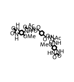 COc1cc2[nH]c(=O)c(=O)[nH]c2cc1NC(=O)C(N=NOC(=O)c1ccc(C(=O)ON=NC(C(C)=O)C(=O)Nc2cc3[nH]c(=O)c(=O)[nH]c3cc2OC)cc1)C(C)=O